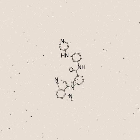 C=Nc1cccc(C#N)c1/C(=C\C)Nc1cccc(C(=O)Nc2cccc(Nc3ccncc3)c2)c1